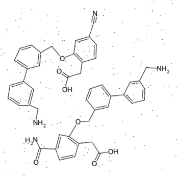 N#Cc1ccc(CC(=O)O)c(OCc2cccc(-c3cccc(CN)c3)c2)c1.NCc1cccc(-c2cccc(COc3cc(C(N)=O)ccc3CC(=O)O)c2)c1